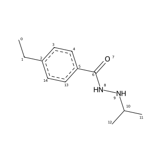 CCc1ccc(C(=O)NNC(C)C)cc1